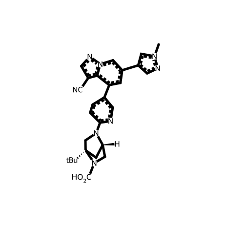 Cn1cc(-c2cc(-c3ccc(N4C[C@@]5(C(C)(C)C)C[C@H]4CN5C(=O)O)nc3)c3c(C#N)cnn3c2)cn1